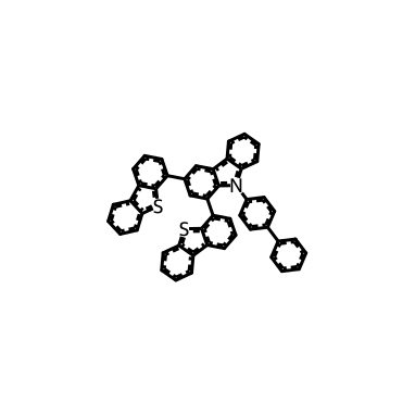 c1ccc(-c2ccc(-n3c4ccccc4c4cc(-c5cccc6c5sc5ccccc56)cc(-c5cccc6c5sc5ccccc56)c43)cc2)cc1